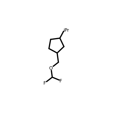 CC(C)C1CCC(COC(F)F)C1